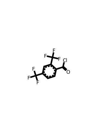 O=C(Cl)c1ccc(C(F)(F)F)cc1C(F)(F)F